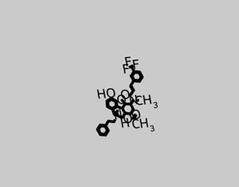 CC(=O)O[C@@]12CCC(N(C)C(=O)/C=C/c3cccc(C(F)(F)F)c3)C3Oc4c(O)ccc5c4[C@@]31CCN(CCc1ccccc1)[C@@H]2C5